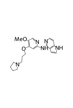 COc1cnc(Nc2nccc3[nH]ccc23)cc1OCCCN1CCCC1